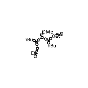 CCCCc1ccc(N(c2ccc(-c3ccc(COCC4(CC)COC4)cc3)cc2)c2ccc(-c3cc(OCCOC)cc(-c4ccc(N(c5ccc(CCCC)cc5)c5ccc(-c6ccc(COCC7(CC)COC7)cc6)cc5)cc4)c3)cc2)cc1